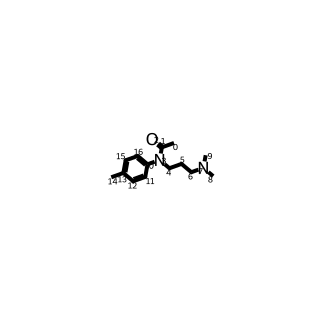 CC(=O)N(CCCN(C)C)c1ccc(C)cc1